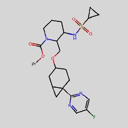 CC(C)OC(=O)N1CCCC(NS(=O)(=O)C2CC2)C1COC1CCC2(c3ncc(F)cn3)CC2C1